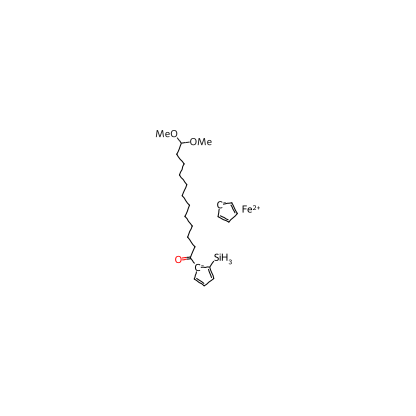 COC(CCCCCCCCCCC(=O)[c-]1cccc1[SiH3])OC.[Fe+2].c1cc[cH-]c1